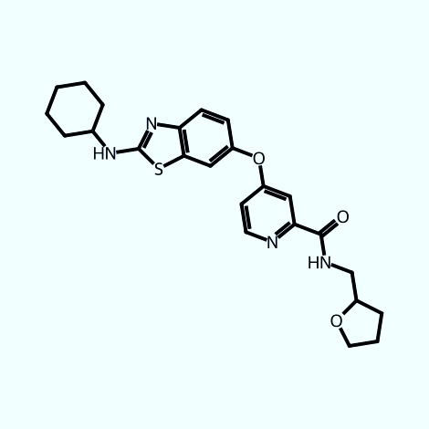 O=C(NCC1CCCO1)c1cc(Oc2ccc3nc(NC4CCCCC4)sc3c2)ccn1